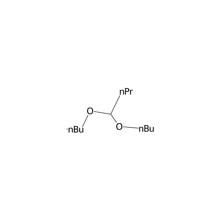 CCC[CH]OC(CCC)OCCCC